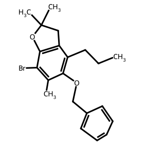 CCCc1c2c(c(Br)c(C)c1OCc1ccccc1)OC(C)(C)C2